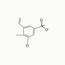 C=Cc1cc([N+](=O)[O-])cc(Cl)c1C